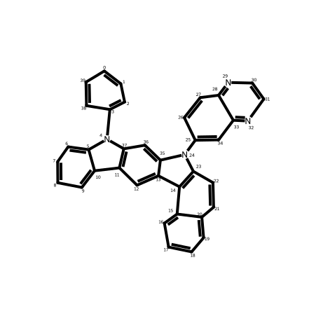 c1ccc(-n2c3ccccc3c3cc4c5c6ccccc6ccc5n(-c5ccc6nccnc6c5)c4cc32)cc1